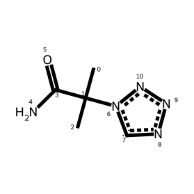 CC(C)(C(N)=O)n1[c]nnn1